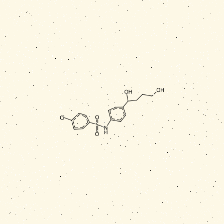 O=S(=O)(Nc1ccc(C(O)CCCO)cc1)c1ccc(Cl)cc1